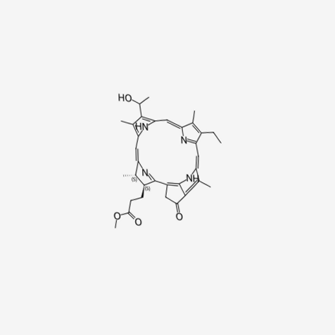 CCC1=C(C)c2cc3[nH]c(cc4nc(c5c6[nH]c(cc1n2)c(C)c6C(=O)C5)[C@@H](CCC(=O)OC)[C@@H]4C)c(C)c3C(C)O